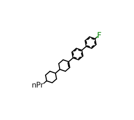 CCCC1CCC(C2CC=C(c3ccc(-c4ccc(F)cc4)cc3)CC2)CC1